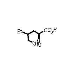 CCC(CC=O)CC(=O)C(=O)O